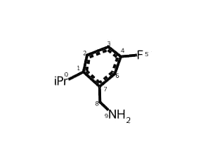 CC(C)c1ccc(F)cc1CN